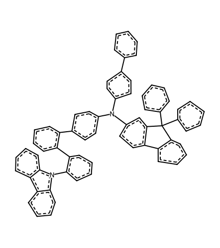 c1ccc(-c2ccc(N(c3ccc(-c4ccccc4-c4ccccc4-n4c5ccccc5c5ccccc54)cc3)c3ccc4c(c3)C(c3ccccc3)(c3ccccc3)c3ccccc3-4)cc2)cc1